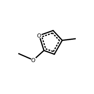 COc1cc(C)co1